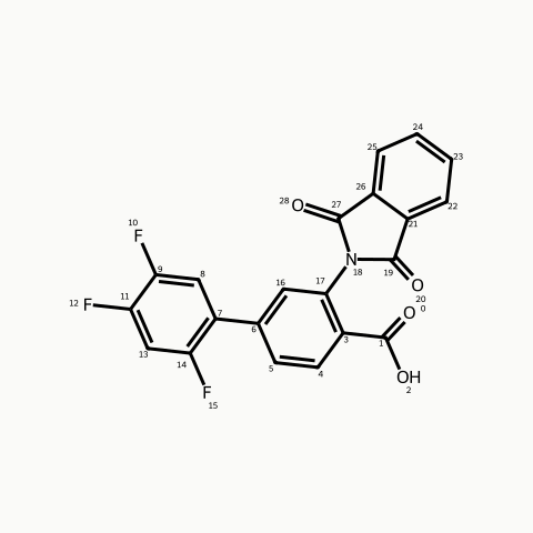 O=C(O)c1ccc(-c2cc(F)c(F)cc2F)cc1N1C(=O)c2ccccc2C1=O